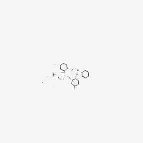 COCc1cc(C(C)(C)C)ccc1C1=N[C@@](C)(c2ccc(Cl)cc2)[C@@](C)(c2ccc(Cl)cc2)N1C(=O)N1CCN(C(=O)CC[Si](C)(C)O)CC1